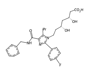 CC(C)c1c(C(=O)NCc2ccccc2)nc(-c2ccc(F)cc2)n1CC[C@@H](O)C[C@@H](O)CC(=O)O